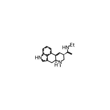 C=C(NCC)[C@@H]1C=C2c3cccc4[nH]cc(c34)C[C@H]2N(C)C1